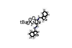 CC(C)(C)OC(=O)CN1C(=O)/C(=C/c2csc3ccccc23)N=C1/C=C/c1csc2ccccc12